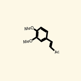 COc1ccc(C=CC(C)=O)cc1OC